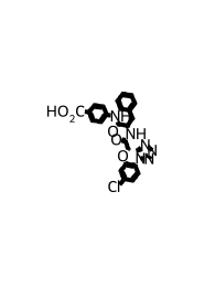 O=C(COc1cc(Cl)ccc1-n1cnnn1)NC(Cc1ccccc1)C(=O)Nc1ccc(C(=O)O)cc1